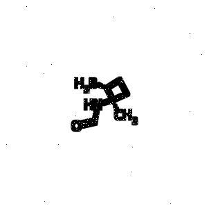 B[C@H]1CC[C@@]1(C)NC=O